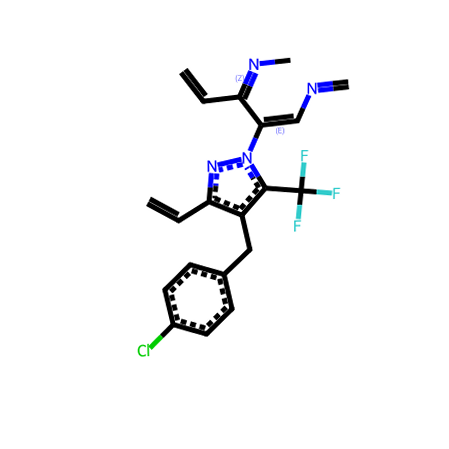 C=CC(=N/C)/C(=C\N=C)n1nc(C=C)c(Cc2ccc(Cl)cc2)c1C(F)(F)F